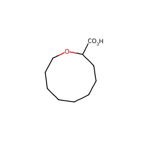 O=C(O)C1CCCCCCCCO1